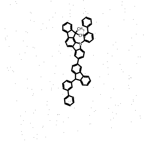 CC1(C)c2ccccc2-c2ccc3c4cc(-c5ccc6c(c5)-c5ccccc5C6c5cccc(-c6ccccc6)c5)ccc4n(-c4cccc(-c5ccccc5)c4)c3c21